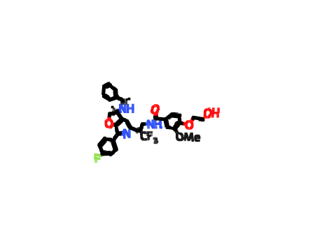 COc1cc(C(=O)NC[C@H](c2cc3c(c(-c4ccc(F)cc4)n2)OC[C@@]3(C)N[C@@H](C)c2ccccc2)C(F)(F)F)ccc1OCCO